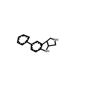 c1ccc(-c2ccc3c(c2)C2CNCC2N3)cc1